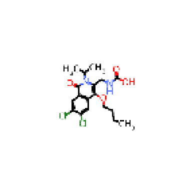 CCCCOc1c(CNC(=O)O)n(C(C)C)c(=O)c2cc(Cl)c(Cl)cc12